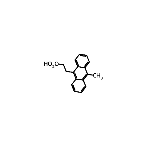 Cc1c2ccccc2c(CCC(=O)O)c2ccccc12